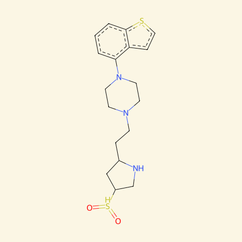 O=[SH](=O)C1CNC(CCN2CCN(c3cccc4sccc34)CC2)C1